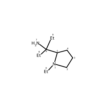 CCN1CCCC1C(N)(CC)CC